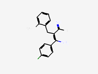 COc1ccccc1C/C(C(C)=N)=C(/N)c1ccc(Br)cc1